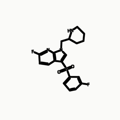 O=S(=O)(c1cccc(F)c1)c1cn(CC2CCCCN2)c2nc(F)ccc12